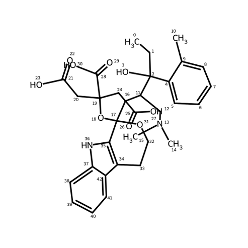 CCC(O)(c1ccccc1C)C(CN(C)C)CC1(OC(CC(=O)O)(CC(=O)O)C(=O)O)OCCc2c1[nH]c1ccccc21